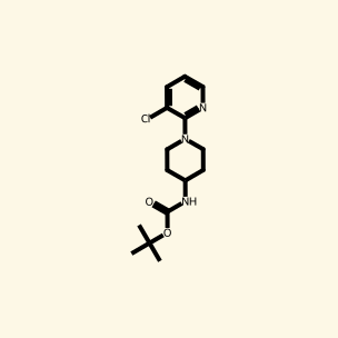 CC(C)(C)OC(=O)NC1CCN(c2ncccc2Cl)CC1